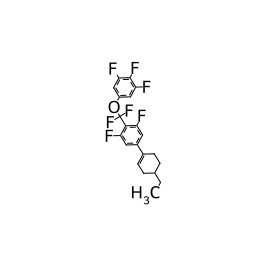 CCC1CC=C(c2cc(F)c(C(F)(F)Oc3cc(F)c(F)c(F)c3)c(F)c2)CC1